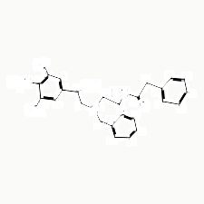 Nc1c(Cl)cc(C(O)CN(CCNC(=O)Cc2ccccc2)Cc2ccccc2)cc1Cl